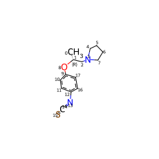 C[C@H](CN1CCCC1)Oc1ccc(N=C=S)cc1